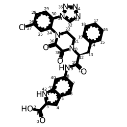 O=C(O)c1cc2ccc(NC(=O)[C@H](Cc3ccccc3)N3CCN(c4cc(Cl)ccc4-n4cnnn4)C(=O)C3=O)cc2[nH]1